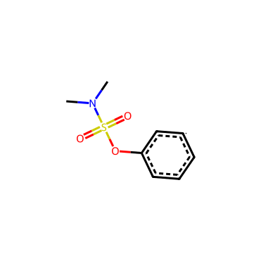 CN(C)S(=O)(=O)Oc1c[c]ccc1